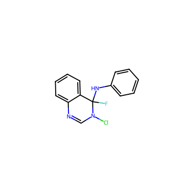 FC1(Nc2ccccc2)c2ccccc2N=CN1Cl